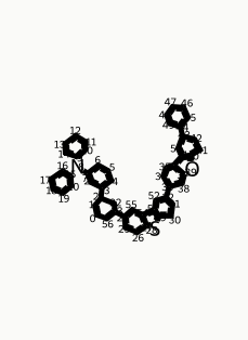 C1=CC(c2cccc(N(c3ccccc3)c3ccccc3)c2)CC(c2ccc3sc4ccc(-c5ccc6c(c5)oc5ccc(-c7ccccc7)cc56)cc4c3c2)=C1